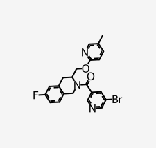 Cc1ccc(OCC2Cc3cc(F)ccc3CN2C(=O)c2cncc(Br)c2)nc1